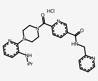 CC(C)Nc1cccnc1N1CCN(C(=O)c2ccc(C(=O)NCc3ccccn3)cn2)CC1.Cl